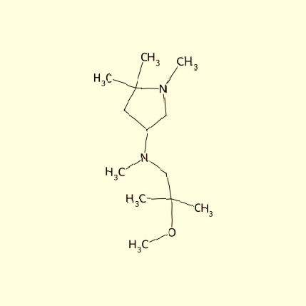 COC(C)(C)CN(C)C1CN(C)C(C)(C)C1